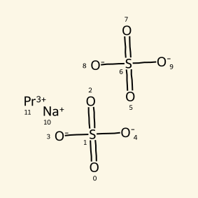 O=S(=O)([O-])[O-].O=S(=O)([O-])[O-].[Na+].[Pr+3]